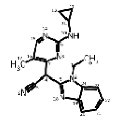 CCn1c(C(C#N)c2nc(NC3CC3)ncc2C)nc2ccccc21